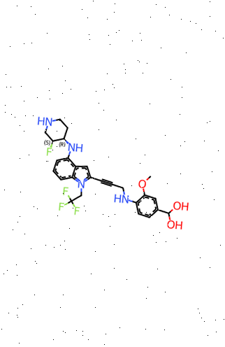 COc1cc(C(O)O)ccc1NCC#Cc1cc2c(N[C@@H]3CCNC[C@@H]3F)cccc2n1CC(F)(F)F